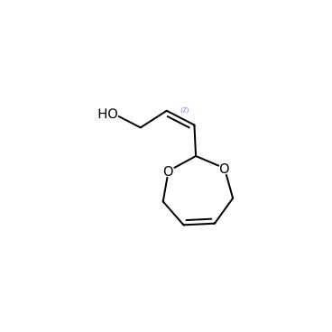 OC/C=C\C1OCC=CCO1